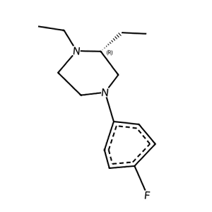 CC[C@@H]1CN(c2ccc(F)cc2)CCN1CC